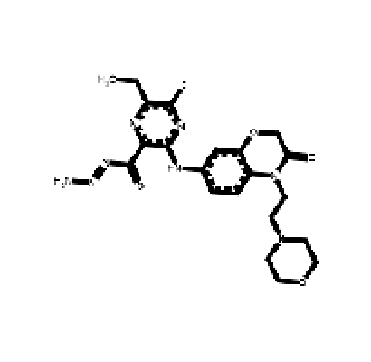 CCc1nc(C(=O)N=NN)c(Nc2ccc3c(c2)OCC(=O)N3CCN2CCOCC2)nc1Cl